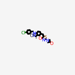 O=C1CN(C2=NC(=O)C(=Cc3ccc4c(cnn4Cc4ccc(Cl)cc4C(F)(F)F)c3)S2)C1